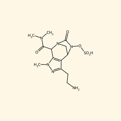 CN(C)C(=O)C1c2c(c(CCN)nn2C)C2CN1C(=O)N2OS(=O)(=O)O